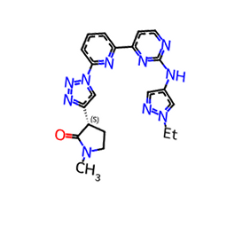 CCn1cc(Nc2nccc(-c3cccc(-n4cc([C@@H]5CCN(C)C5=O)nn4)n3)n2)cn1